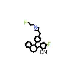 N#Cc1cc(F)ccc1C1=C(c2ccc(CC3CN(CCCF)C3)cc2)c2ccccc2CCC1